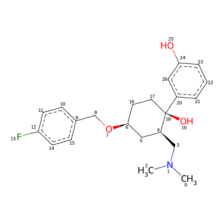 CN(C)C[C@H]1C[C@@H](OCc2ccc(F)cc2)CC[C@]1(O)c1cccc(O)c1